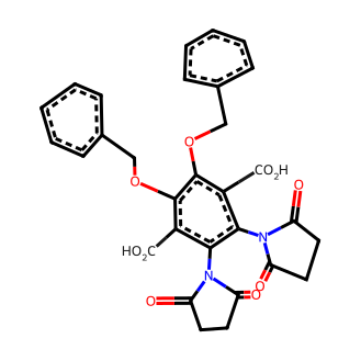 O=C(O)c1c(OCc2ccccc2)c(OCc2ccccc2)c(C(=O)O)c(N2C(=O)CCC2=O)c1N1C(=O)CCC1=O